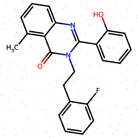 Cc1cccc2nc(-c3ccccc3O)n(CCc3ccccc3F)c(=O)c12